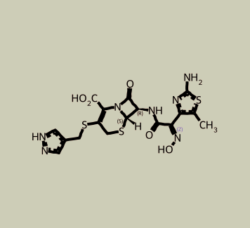 Cc1sc(N)nc1/C(=N/O)C(=O)N[C@@H]1C(=O)N2C(C(=O)O)=C(SCc3cn[nH]c3)CS[C@@H]12